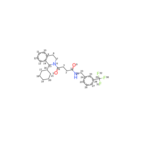 O=C(CCC(=O)N1CCc2ccccc2C1C1CCCCC1)NCc1cccc(C(F)(F)F)c1